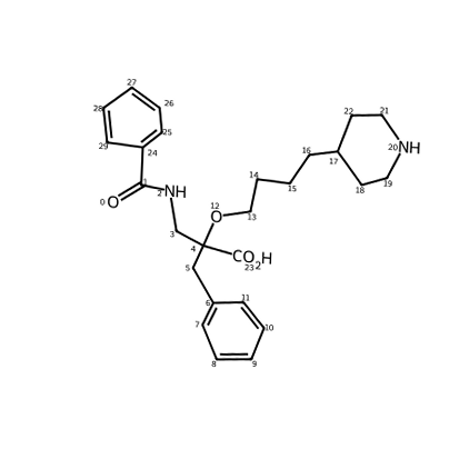 O=C(NCC(Cc1ccccc1)(OCCCCC1CCNCC1)C(=O)O)c1ccccc1